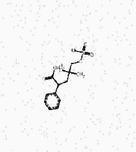 CC(C)(COS(=O)(=O)Cl)CC(C(=O)O)c1ccccc1